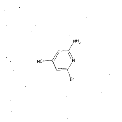 N#Cc1cc(N)nc(Br)c1